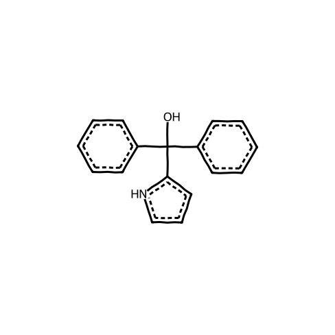 OC(c1ccccc1)(c1ccccc1)c1ccc[nH]1